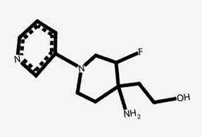 NC1(CCO)CCN(c2cccnc2)CC1F